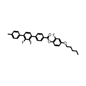 CCCCCOc1ccc(OC(=O)c2ccc(-c3ccc(-c4ccc(C)cc4)c(F)c3F)cc2)c(F)c1